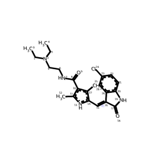 CCN(CC)CCNC(=O)c1c(C)[nH]c(/C=C2/C(=O)Nc3ccc(Cl)cc32)c1C